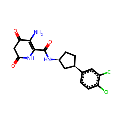 NC1=C(C(=O)N[C@H]2CC[C@@H](c3ccc(Cl)c(Cl)c3)C2)NC(=O)CC1=O